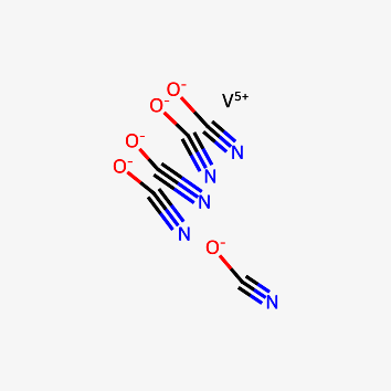 N#C[O-].N#C[O-].N#C[O-].N#C[O-].N#C[O-].[V+5]